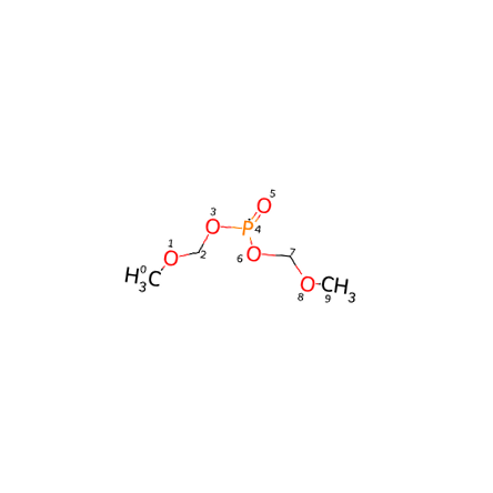 COCO[P](=O)OCOC